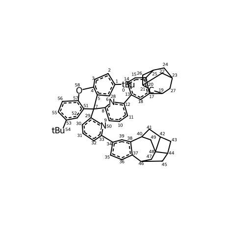 CC(C)(C)c1ccc2c(c1)C(c1cccc(-c3ccc4c(c3)C3CC5CC(CC4C5)C3)n1)(c1cccc(-c3ccc4c(c3)C3CC5CC6CC4CC65C3)n1)c1cc(C(C)(C)C)ccc1O2